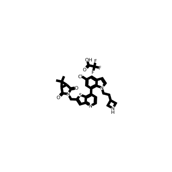 CC1(C)C2C(=O)N(Cc3cc4nccc(-c5cc(Cl)cc6ccn(CCC7CNC7)c56)c4s3)C(=O)C21.O=C(O)C(F)(F)F